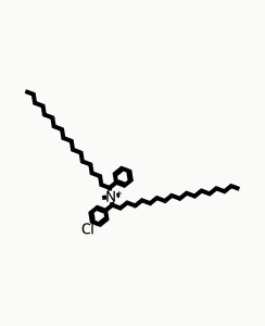 CCCCCCCCCCCCCCCCCC(c1ccccc1)[N+](C)(C)C(CCCCCCCCCCCCCCCCC)c1ccccc1.[Cl-]